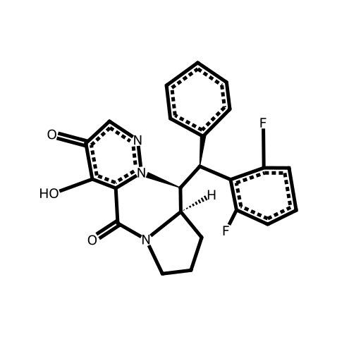 O=C1c2c(O)c(=O)cnn2[C@@H]([C@@H](c2ccccc2)c2c(F)cccc2F)[C@H]2CCCN12